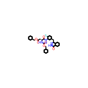 O=C(C[C@H](NC(=O)OCc1ccccc1)C(=O)Nc1cc(Cc2n[nH]c(=O)c3ccccc23)ccc1F)OCc1ccccc1